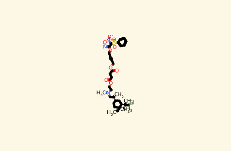 C=C[C@]1(C)CC[C@@H](C(=C)CN(C)CCOC(=O)CCC(=O)OCC#CCOc2no[n+]([O-])c2S(=O)(=O)c2ccccc2)C[C@H]1C(C)(C)CCl